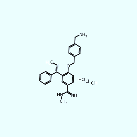 C/N=C(\c1ccccc1)c1cc(C(=N)NC)ccc1OCc1ccc(CN)cc1.Cl.Cl.Cl